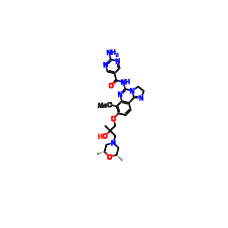 COc1c(OCC(C)(O)CN2C[C@@H](C)O[C@@H](C)C2)ccc2c1N=C(NC(=O)c1cnc(N)nc1)N1CCN=C21